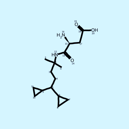 CC(C)(CCC(C1CC1)C1CC1)NC(=O)[C@@H](N)CC(=O)O